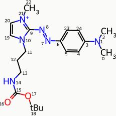 CN(C)c1ccc(N=Nc2n(CCCNC(=O)OC(C)(C)C)cc[n+]2C)cc1